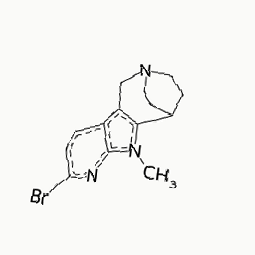 Cn1c2c(c3ccc(Br)nc31)CN1CCC2CC1